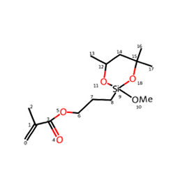 C=C(C)C(=O)OCCC[Si]1(OC)OC(C)CC(C)(C)O1